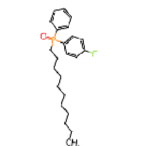 CCCCCCCCCCCP(=O)(c1ccccc1)c1ccc(F)cc1